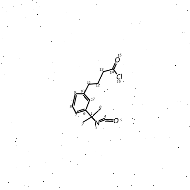 CC(C)(N=C=O)c1cccc(CCCC(=O)Cl)c1